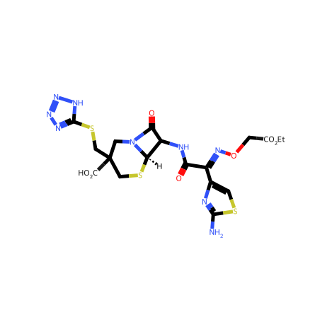 CCOC(=O)CON=C(C(=O)NC1C(=O)N2CC(CSc3nnn[nH]3)(C(=O)O)CS[C@H]12)c1csc(N)n1